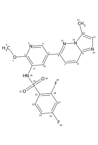 COc1ncc(-c2ccc3ncc(C)n3n2)cc1NS(=O)(=O)c1ccc(F)cc1F